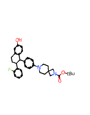 CC(C)(C)OC(=O)N1CC2(CCN(c3ccc(C4c5ccc(O)cc5CCC4c4ccccc4F)cc3)CC2)C1